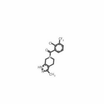 Cc1n[nH]c2c1CCN(C(=O)c1cccc(C(F)(F)F)c1Cl)C2